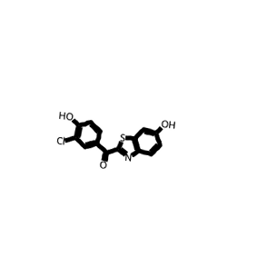 O=C(c1ccc(O)c(Cl)c1)c1nc2ccc(O)cc2s1